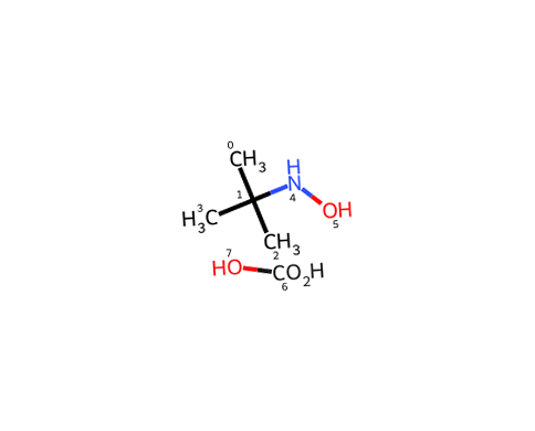 CC(C)(C)NO.O=C(O)O